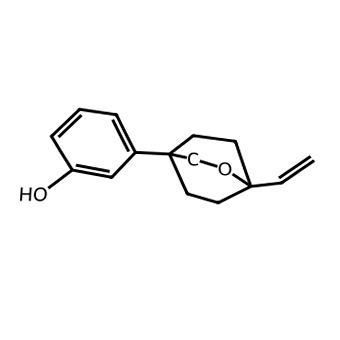 C=CC12CCC(c3cccc(O)c3)(CC1)CO2